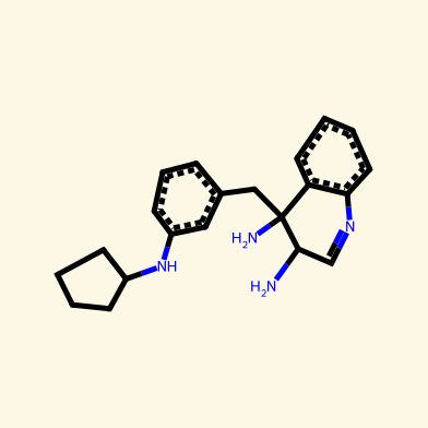 NC1C=Nc2ccccc2C1(N)Cc1cccc(NC2CCCC2)c1